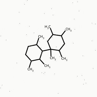 CC1CC(C)C(C)(C2C(C)CCC(C)C2C)CC1C